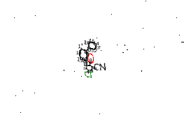 N#Cc1cc(Cl)cc2c1oc1c(-c3ccccc3)cccc12